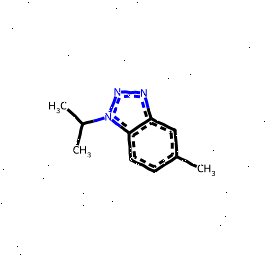 Cc1ccc2c(c1)nnn2C(C)C